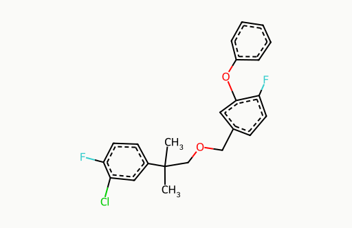 CC(C)(COCc1ccc(F)c(Oc2ccccc2)c1)c1ccc(F)c(Cl)c1